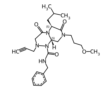 C#CCN1CC(=O)N2[C@@H](CC(C)C)C(=O)N(CCCOC)C[C@@H]2N1C(=O)NCc1ccccc1